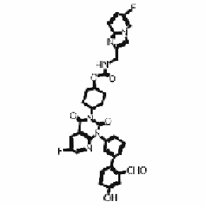 O=Cc1cc(O)ccc1-c1cccc(-n2c(=O)n(C3CCC(OC(=O)NCc4cn5cc(F)ccc5n4)CC3)c(=O)c3cc(F)cnc32)c1